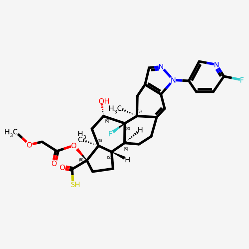 COCC(=O)O[C@]1(C(=O)S)CC[C@H]2[C@@H]3CCC4=Cc5c(cnn5-c5ccc(F)nc5)C[C@]4(C)[C@@]3(F)[C@@H](O)C[C@@]21C